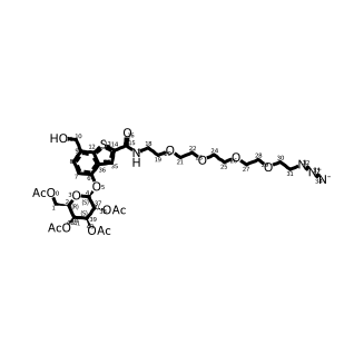 CC(=O)OC[C@H]1O[C@@H](Oc2ccc(CO)c3sc(C(=O)NCCOCCOCCOCCOCCN=[N+]=[N-])cc23)[C@H](OC(C)=O)[C@@H](OC(C)=O)[C@H]1OC(C)=O